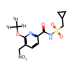 [2H]C([2H])([2H])Oc1nc(C(=O)NS(=O)(=O)CC2CC2)ccc1C[N+](=O)[O-]